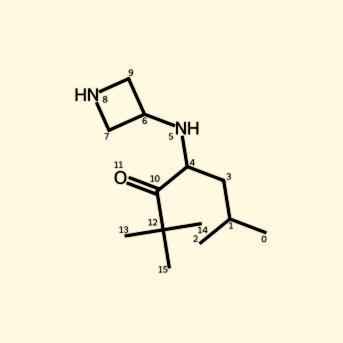 CC(C)CC(NC1CNC1)C(=O)C(C)(C)C